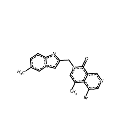 Cc1ccc2nc(Cn3cc(C)c4c(Br)cncc4c3=O)cn2c1